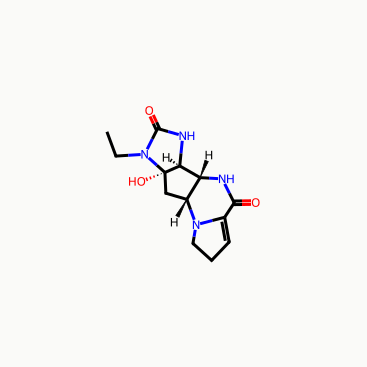 CCN1C(=O)N[C@H]2[C@@H]3NC(=O)C4=CCCN4[C@@H]3C[C@]21O